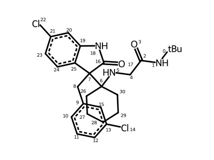 CC(C)(C)NC(=O)CNC1(C2(Cc3cccc(Cl)c3)C(=O)Nc3cc(Cl)ccc32)CCCCC1